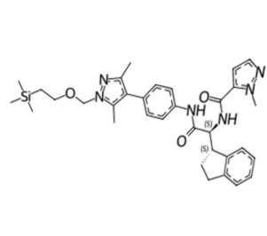 Cc1nn(COCC[Si](C)(C)C)c(C)c1-c1ccc(NC(=O)[C@@H](NC(=O)c2ccnn2C)[C@H]2CCc3ccccc32)cc1